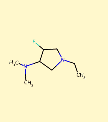 CCN1CC(F)C(N(C)C)C1